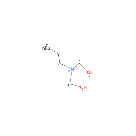 CCCCCCN(CO)CO